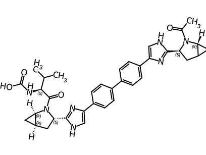 CC(=O)N1[C@@H]2CC2C[C@H]1c1nc(-c2ccc(-c3ccc(-c4c[nH]c([C@@H]5C[C@H]6C[C@H]6N5C(=O)[C@@H](NC(=O)O)C(C)C)n4)cc3)cc2)c[nH]1